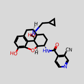 N#Cc1cnccc1C(=O)N[C@H]1CC[C@]2(O)[C@@H]3Cc4ccc(O)c5c4[C@]2(CCN3CC2CC2)[C@@H]1O5